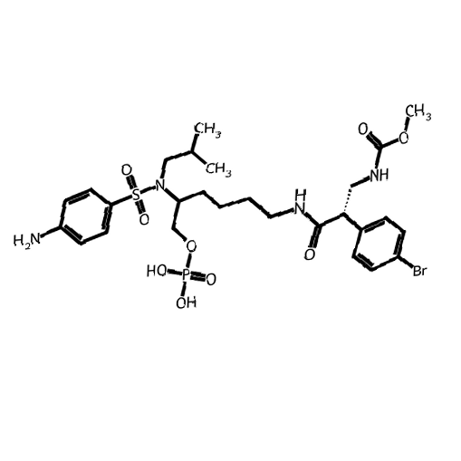 COC(=O)NC[C@@H](C(=O)NCCCCC(COP(=O)(O)O)N(CC(C)C)S(=O)(=O)c1ccc(N)cc1)c1ccc(Br)cc1